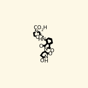 O=C1CCC(N2C(=O)c3cccc(NC[C@H]4CN(C(=O)O)CCO4)c3C2=O)C(=O)N1